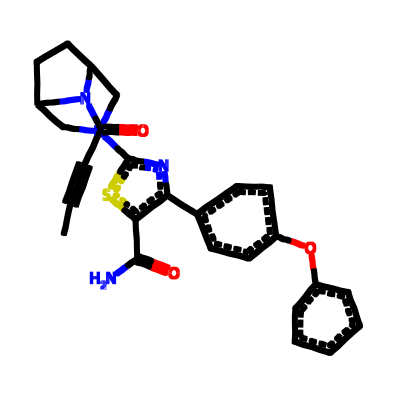 CC#CC(=O)N1C2CCC1CN(c1nc(-c3ccc(Oc4ccccc4)cc3)c(C(N)=O)s1)C2